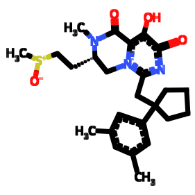 Cc1cc(C)cc(C2(Cc3nc(=O)c(O)c4n3C[C@H](CC[S+](C)[O-])N(C)C4=O)CCCC2)c1